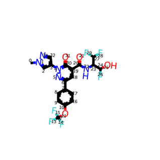 Cn1cc(-n2nc(-c3ccc(OC(F)(F)F)cc3)cc(C(=O)NC(C(O)F)C(F)F)c2=O)cn1